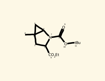 CCOC(=O)C1CC2(C)CC2N1C(=O)OC(C)(C)C